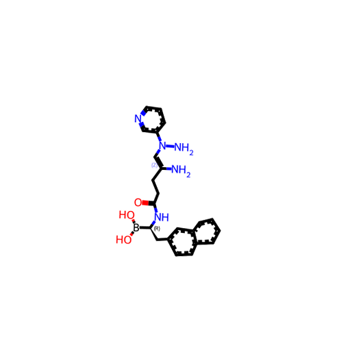 N/C(=C\N(N)c1cccnc1)CCC(=O)N[C@@H](Cc1ccc2ccccc2c1)B(O)O